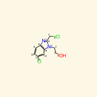 OCCn1c(CCl)nc2ccc(Cl)cc21